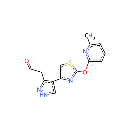 Cc1cccc(Oc2nc(-c3c[nH]nc3CC=O)cs2)n1